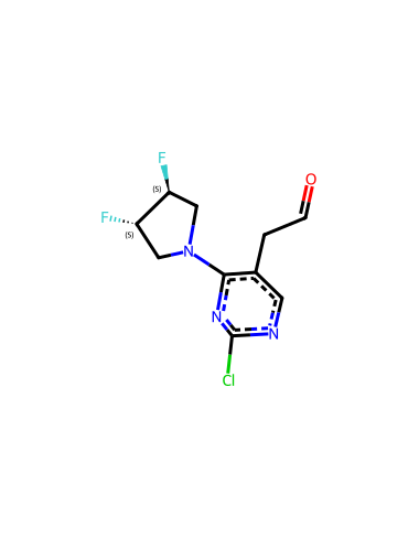 O=CCc1cnc(Cl)nc1N1C[C@H](F)[C@@H](F)C1